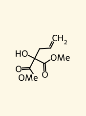 C=CCC(O)(C(=O)OC)C(=O)OC